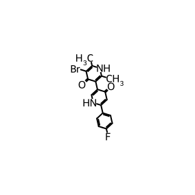 Cc1[nH]c(C)c(-c2c[nH]c(-c3ccc(F)cc3)cc2=O)c(=O)c1Br